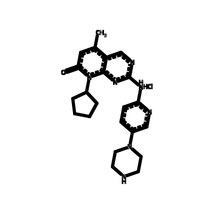 Cc1cc(=O)n(C2CCCC2)c2nc(Nc3ccc(N4CCNCC4)cn3)ncc12.Cl